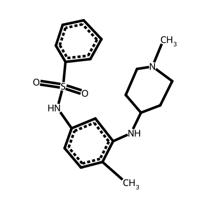 Cc1ccc(NS(=O)(=O)c2ccccc2)cc1NC1CCN(C)CC1